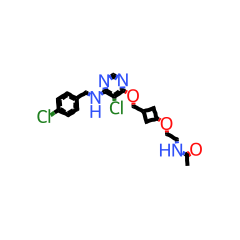 CC(=O)NCCOC1CC(COc2ncnc(NCc3ccc(Cl)cc3)c2Cl)C1